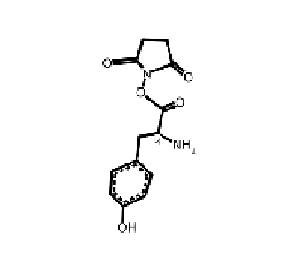 N[C@@H](Cc1ccc(O)cc1)C(=O)ON1C(=O)CCC1=O